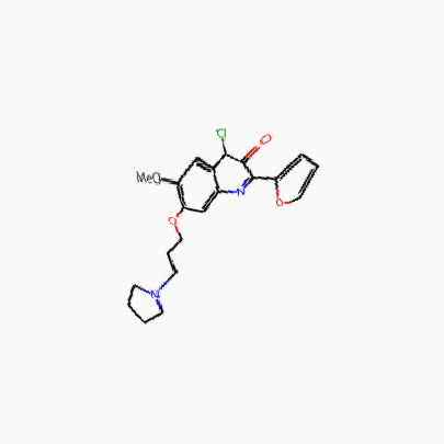 COc1cc2c(cc1OCCCN1CCCC1)N=C(c1ccco1)C(=O)C2Cl